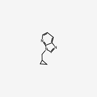 [c]1nc2cccnc2n1CC1CC1